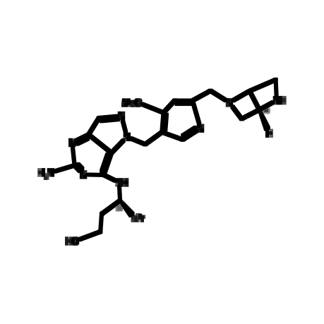 CCC[C@@H](CCO)Nc1nc(N)nc2cnn(Cc3cnc(CN4C[C@H]5NCC54)cc3OC)c12